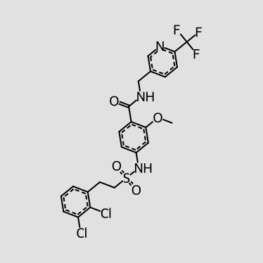 COc1cc(NS(=O)(=O)CCc2cccc(Cl)c2Cl)ccc1C(=O)NCc1ccc(C(F)(F)F)nc1